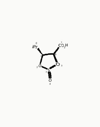 CC(C)[C@@H]1OS(=O)OC1C(=O)O